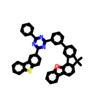 CC1(C)c2ccc(-c3cccc(-c4nc(-c5ccccc5)nc(-c5ccc6sc7ccccc7c6c5)n4)c3)cc2-c2c1ccc1c2oc2ccccc21